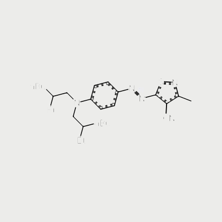 CCCCC(CC)CN(CC(CC)CCCC)c1ccc(/N=N/c2snc(C)c2C#N)cc1